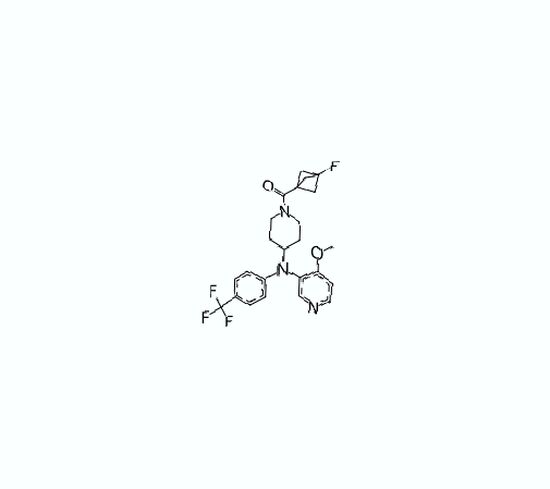 COc1ccncc1N(c1ccc(C(F)(F)F)cc1)C1CCN(C(=O)C23CC(F)(C2)C3)CC1